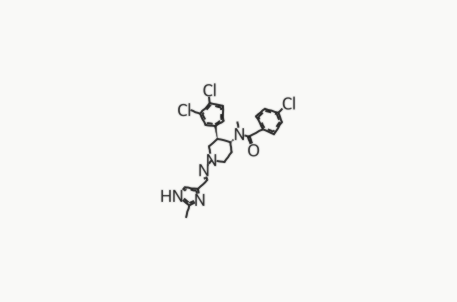 Cc1nc(/C=N/N2CC[C@@H](N(C)C(=O)c3ccc(Cl)cc3)[C@H](c3ccc(Cl)c(Cl)c3)C2)c[nH]1